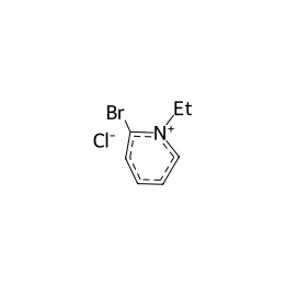 CC[n+]1ccccc1Br.[Cl-]